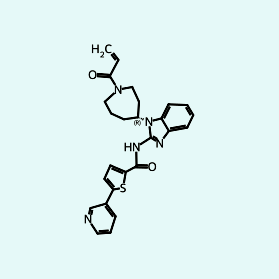 C=CC(=O)N1CCC[C@@H](n2c(NC(=O)c3ccc(-c4cccnc4)s3)nc3ccccc32)CC1